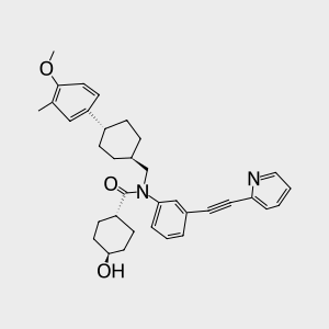 COc1ccc([C@H]2CC[C@H](CN(c3cccc(C#Cc4ccccn4)c3)C(=O)[C@H]3CC[C@H](O)CC3)CC2)cc1C